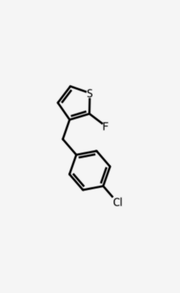 Fc1sccc1Cc1ccc(Cl)cc1